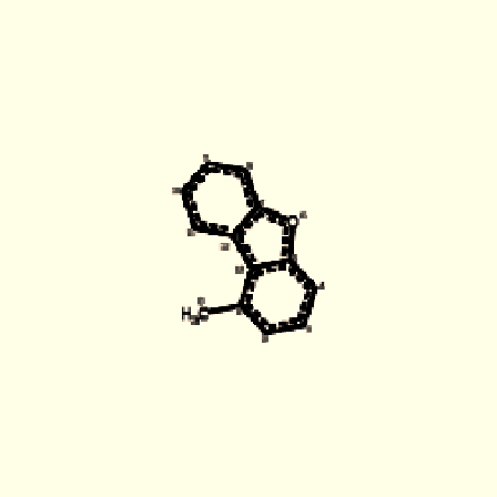 Cc1[c]ccc2oc3ccccc3c12